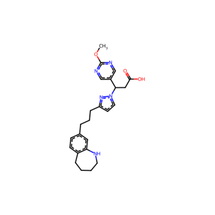 COc1ncc(C(CC(=O)O)n2ccc(CCCc3ccc4c(c3)NCCCC4)n2)cn1